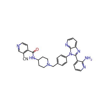 N#Cc1cnccc1C(=O)NC1CCN(Cc2ccc(-n3c(-c4cccnc4N)nc4cccnc43)cc2)CC1